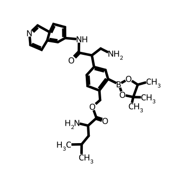 CC(C)CC(N)C(=O)OCc1ccc(C(CN)C(=O)Nc2ccc3cnccc3c2)cc1B1OC(C)C(C)(C)O1